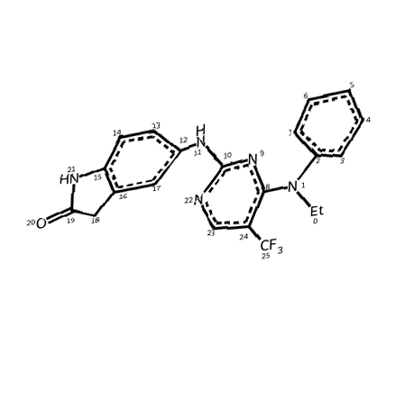 CCN(c1ccccc1)c1nc(Nc2ccc3c(c2)CC(=O)N3)ncc1C(F)(F)F